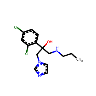 CCCNCC(O)(Cn1ccnc1)c1ccc(Cl)cc1Cl